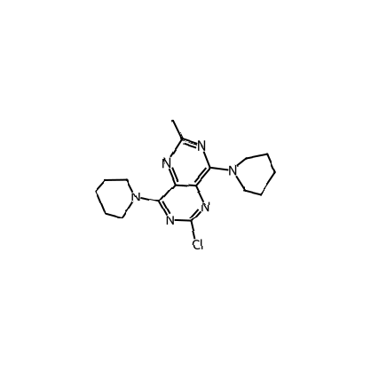 Cc1nc(N2CCCCC2)c2nc(Cl)nc(N3CCCCC3)c2n1